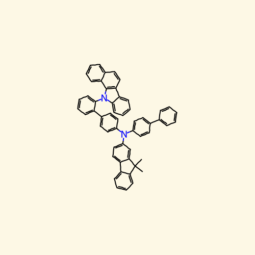 CC1(C)c2ccccc2-c2ccc(N(c3ccc(-c4ccccc4)cc3)c3ccc(-c4ccccc4-n4c5ccccc5c5ccc6ccccc6c54)cc3)cc21